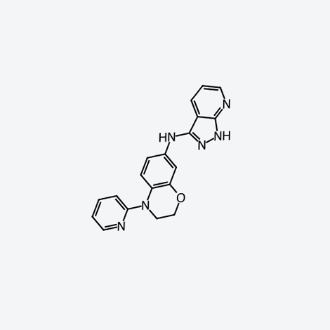 c1ccc(N2CCOc3cc(Nc4n[nH]c5ncccc45)ccc32)nc1